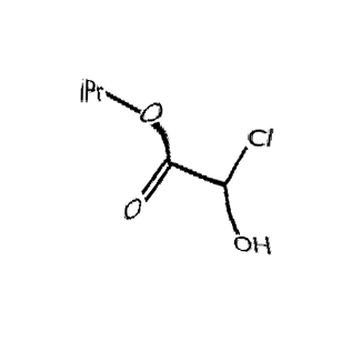 CC(C)OC(=O)C(O)Cl